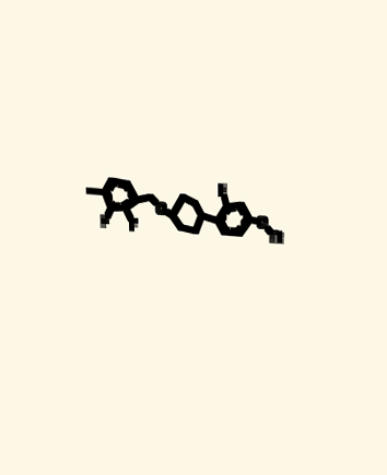 CCOc1ccc(C2CCC(OCc3ccc(C)c(F)c3F)CC2)c(F)c1